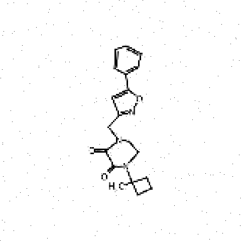 CC1(N2CCN(Cc3cc(-c4ccccc4)on3)C(=O)C2=O)CCC1